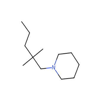 CCCC(C)(C)CN1CCCCC1